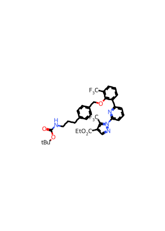 CCOC(=O)c1cnn(-c2cccc(-c3cccc(C(F)(F)F)c3OCc3ccc(CCCNC(=O)OC(C)(C)C)cc3)n2)c1C(F)(F)F